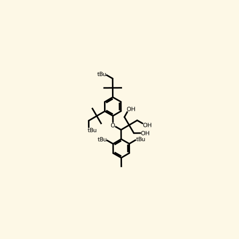 Cc1cc(C(C)(C)C)c(C(Oc2ccc(C(C)(C)CC(C)(C)C)cc2C(C)(C)CC(C)(C)C)C(CO)(CO)CO)c(C(C)(C)C)c1